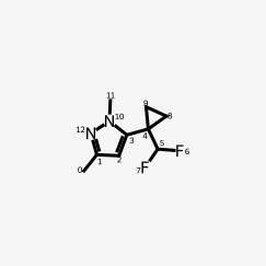 Cc1cc(C2(C(F)F)CC2)n(C)n1